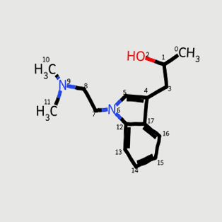 CC(O)Cc1cn(CCN(C)C)c2ccccc12